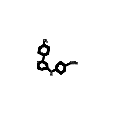 CC(=O)Nc1ccc(Nc2cc(-c3ccc(C(F)(F)F)cc3)ncn2)cc1